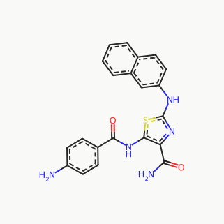 NC(=O)c1nc(Nc2ccc3ccccc3c2)sc1NC(=O)c1ccc(N)cc1